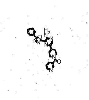 Nc1ncc(C2=CCN(C(=O)c3cccnc3)CC2)nc1-c1nnc(-c2ccccc2)o1